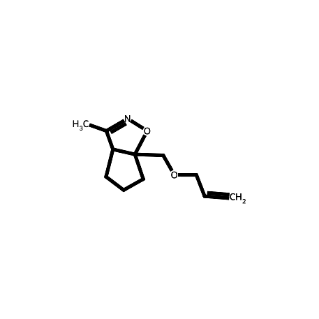 C=CCOCC12CCCC1C(C)=NO2